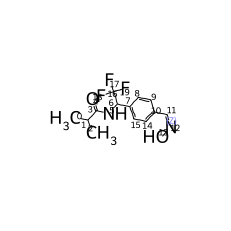 CC(C)C(=O)NC(c1ccc(/C=N\O)cc1)C(F)(F)F